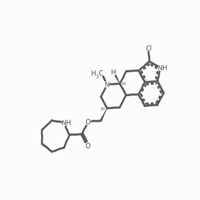 CN1C[C@H](COC(=O)C2CCCCCN2)CC2c3cccc4[nH]c(Cl)c(c34)C[C@H]21